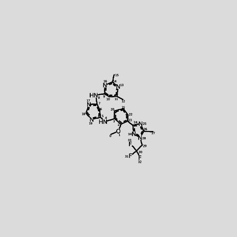 COc1c(Nc2cc(Nc3cc(C)nc(C)n3)ncn2)cccc1-c1nc(C)n(CC(F)(F)F)n1